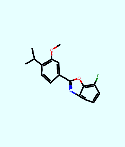 COc1cc(-c2nc3cccc(F)c3o2)ccc1C(C)C